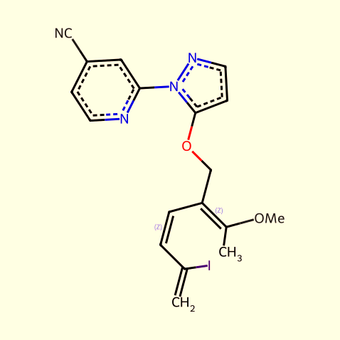 C=C(I)/C=C\C(COc1ccnn1-c1cc(C#N)ccn1)=C(/C)OC